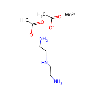 CC(=O)[O-].CC(=O)[O-].NCCNCCN.[Mn+2]